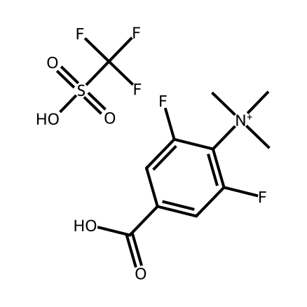 C[N+](C)(C)c1c(F)cc(C(=O)O)cc1F.O=S(=O)(O)C(F)(F)F